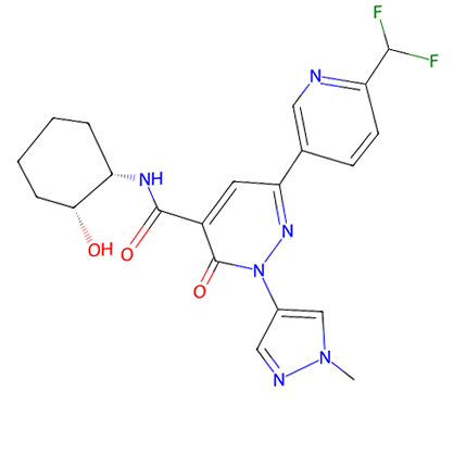 Cn1cc(-n2nc(-c3ccc(C(F)F)nc3)cc(C(=O)N[C@H]3CCCC[C@H]3O)c2=O)cn1